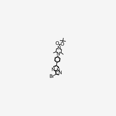 CC1CN(C(=O)OC(C)(C)C)CC(C)N1c1ccc(-c2cnc3c(Br)cnn3c2)cc1